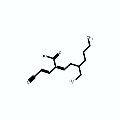 CCCCC(CC)CC=C(C=CC#N)C(=O)O